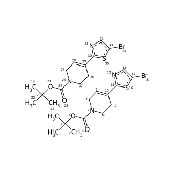 CC(C)(C)OC(=O)N1CC=C(c2ncc(Br)s2)CC1.CC(C)(C)OC(=O)N1CC=C(c2ncc(Br)s2)CC1